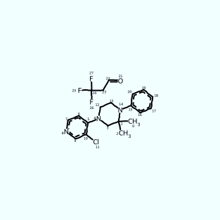 CC1(C)CN(c2ccncc2Cl)CCN1c1ccccc1.O=CCC(F)(F)F